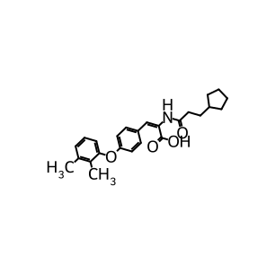 Cc1cccc(Oc2ccc(/C=C(/NC(=O)CCC3CCCC3)C(=O)O)cc2)c1C